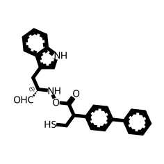 O=C[C@H](Cc1c[nH]c2ccccc12)NOC(=O)C(CS)c1ccc(-c2ccccc2)cc1